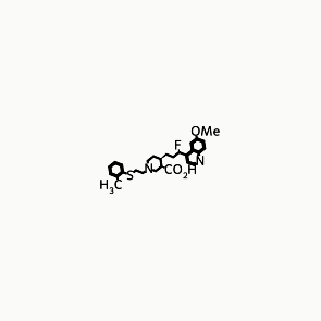 COc1ccc2nccc([C@@H](F)CC[C@@H]3CCN(CCSc4ccccc4C)C[C@@H]3C(=O)O)c2c1